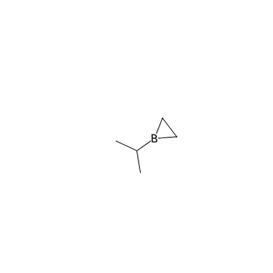 CC(C)B1CC1